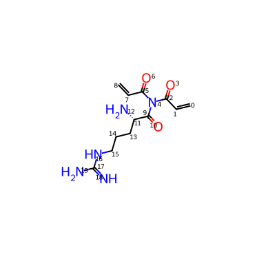 C=CC(=O)N(C(=O)C=C)C(=O)[C@@H](N)CCCNC(=N)N